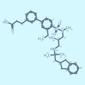 CCc1cc(-c2cccc(CCC(=O)O)c2)ccc1S(=O)(=O)N(C)C[C@H](O)CNC(C)(C)CC1Cc2ccccc2C1